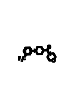 O=C(C1CCN(c2cccc(C(F)(F)F)c2)CC1)N1CCOCC1